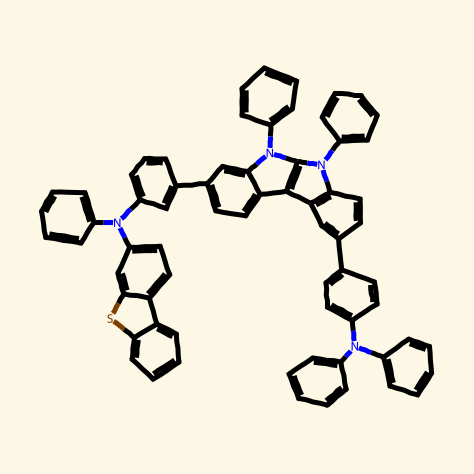 c1ccc(N(c2ccccc2)c2ccc(-c3ccc4c(c3)c3c5ccc(-c6cccc(N(c7ccccc7)c7ccc8c(c7)sc7ccccc78)c6)cc5n(-c5ccccc5)c3n4-c3ccccc3)cc2)cc1